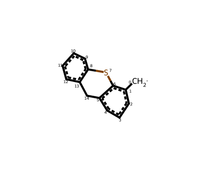 [CH2]c1cccc2c1Sc1ccccc1C2